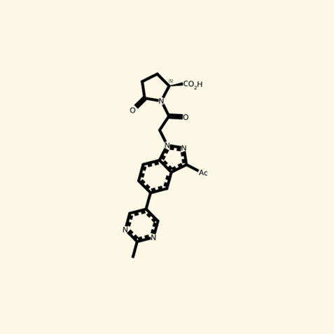 CC(=O)c1nn(CC(=O)N2C(=O)CC[C@H]2C(=O)O)c2ccc(-c3cnc(C)nc3)cc12